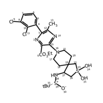 CCOC(=O)c1nc(-c2cccc(Cl)c2Cl)c(C)nc1N1CCC2(CC1)CS(O)(O)CC2N[S@+]([O-])C(C)(C)C